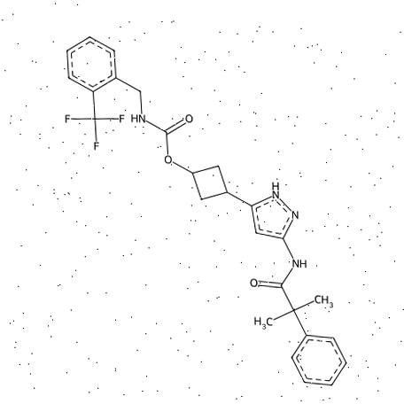 CC(C)(C(=O)Nc1cc(C2CC(OC(=O)NCc3ccccc3C(F)(F)F)C2)[nH]n1)c1ccccc1